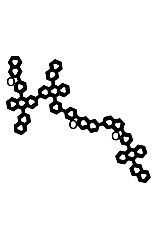 c1cc(-c2ccc3c(c2)oc2cc4ccc(-c5ccc6ccc7c8ccc(-c9c%10ccccc%10c(-c%10ccc%11ccccc%11c%10)c%10ccccc9%10)cc8oc7c6c5)cc4cc23)cc(-c2c3ccccc3c(-c3ccc4ccccc4c3)c3ccc(-c4ccc5c(-c6ccc7ccccc7c6)c6ccccc6c(-c6ccc7c(c6)oc6cc8ccccc8cc67)c5c4)cc23)c1